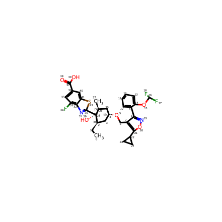 CC[C@@H]1C[C@@H](OCc2c(-c3ccccc3OC(F)F)noc2C2CC2)C[C@H](C)[C@]1(O)c1nc2c(F)cc(C(=O)O)cc2s1